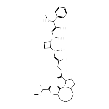 CNC(/C(N)=C/N(N)C1CCC1N(N)/C=C(\N)CNC(=O)C1CCC2CCCCC(NC(=O)[C@H](C)NC)C(=O)N21)c1ccccc1